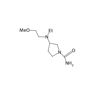 CCN(CCOC)C1CCN(C(N)=O)C1